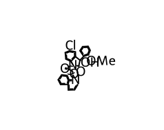 COc1ccccc1C1(O)C(=O)N(S(=O)(=O)c2cccc3cccnc23)c2ccc(Cl)cc21